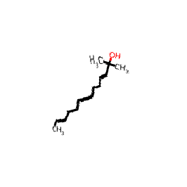 CC=CCCC=CCCC=CC(C)(C)O